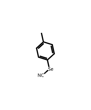 Cc1ccc([Se]C#N)cc1